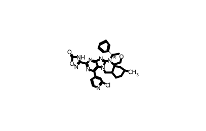 CC1CCC(Cn2c(N3CCOC[C@H]3c3ccccc3)nc3nc(-c4noc(=O)[nH]4)nc(-c4ccnc(Cl)c4)c32)CC1